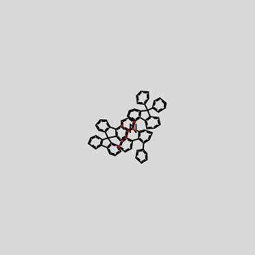 c1ccc(-c2ccccc2-c2c(-c3ccccc3)cccc2N(c2ccc3c(c2)-c2ccccc2C32c3ccccc3-c3ccccc32)c2cccc3c2-c2ccccc2C3(c2ccccc2)c2ccccc2)cc1